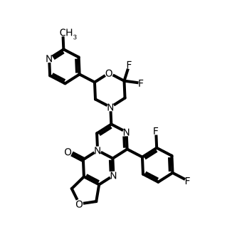 Cc1cc(C2CN(c3cn4c(=O)c5c(nc4c(-c4ccc(F)cc4F)n3)COC5)CC(F)(F)O2)ccn1